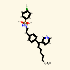 O=C(O)CCCC/C=C(/c1ccc(CCNS(=O)(=O)c2ccc(Cl)cc2)cc1)c1cccnc1